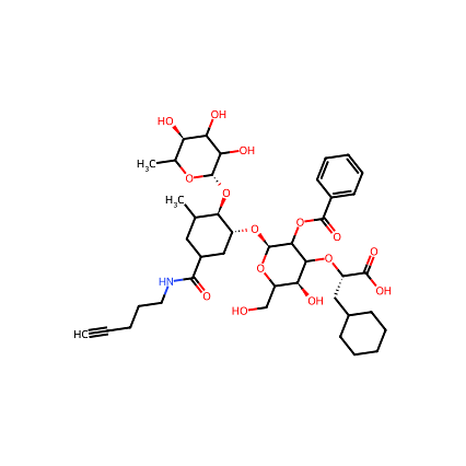 C#CCCCNC(=O)C1CC(C)[C@@H](O[C@@H]2OC(C)[C@@H](O)C(O)C2O)[C@H](O[C@@H]2OC(CO)[C@H](O)C(O[C@@H](CC3CCCCC3)C(=O)O)C2OC(=O)c2ccccc2)C1